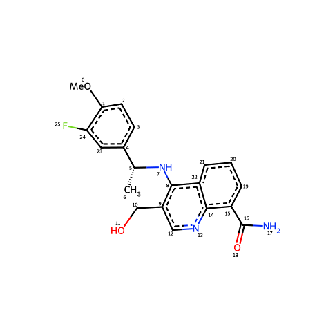 COc1ccc([C@@H](C)Nc2c(CO)cnc3c(C(N)=O)cccc23)cc1F